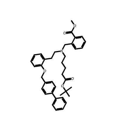 COC(=O)c1ccccc1CN(CCCCC(=O)OC(C)(C)C)CCc1ccccc1OCc1ccc(-c2ccccc2)cc1